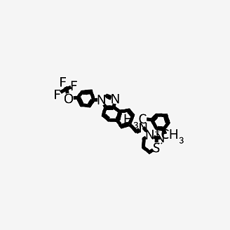 Cc1cccc(C)c1[N+]1(/N=C/c2ccc3c(ccc4c3ncn4-c3ccc(OC(F)(F)F)cc3)c2)CCCSC1[N]